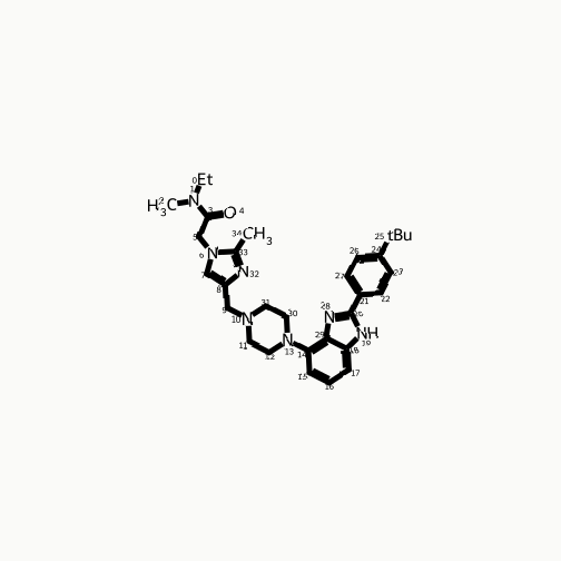 CCN(C)C(=O)Cn1cc(CN2CCN(c3cccc4[nH]c(-c5ccc(C(C)(C)C)cc5)nc34)CC2)nc1C